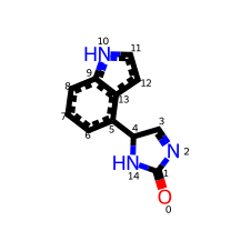 O=C1N=CC(c2cccc3[nH]ccc23)N1